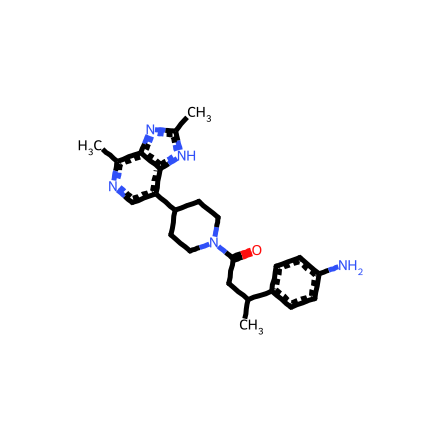 Cc1nc2c(C)ncc(C3CCN(C(=O)CC(C)c4ccc(N)cc4)CC3)c2[nH]1